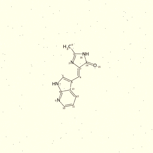 CC1=NC(=Cc2c[nH]c3ncccc23)C(=O)N1